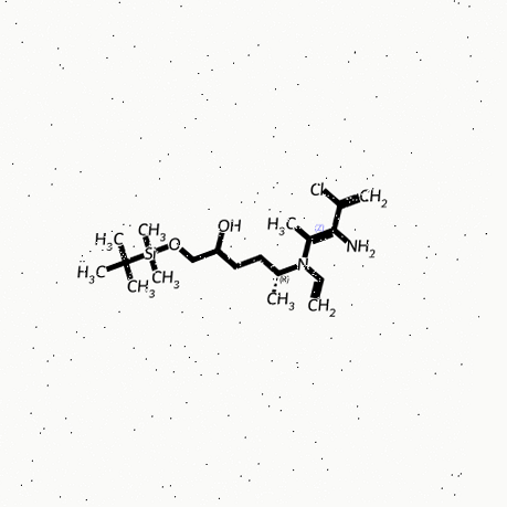 C=CN(/C(C)=C(\N)C(=C)Cl)[C@H](C)CCC(O)CO[Si](C)(C)C(C)(C)C